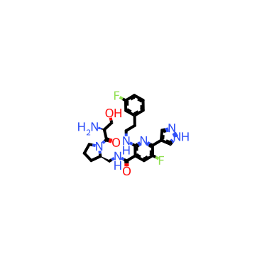 N[C@@H](CO)C(=O)N1CCC[C@@H]1CNC(=O)c1cc(F)c(-c2cn[nH]c2)nc1NCCc1cccc(F)c1